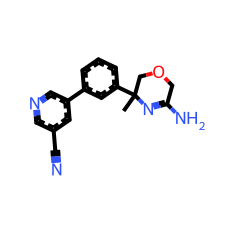 CC1(c2cccc(-c3cncc(C#N)c3)c2)COCC(N)=N1